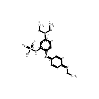 CCN=C1C=CC(=Nc2ccc(N(CC)CC)cc2SS(=O)(=O)O)C=C1